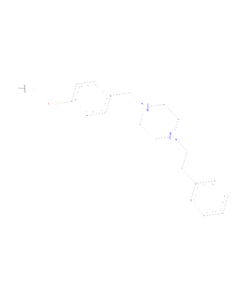 COc1ccc(CN2CCN(CCc3[c]cccc3)CC2)cc1